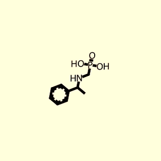 CC(NCP(=O)(O)O)c1ccccc1